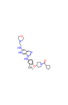 Cc1cc(NN2C=NC=C3C=C(NCCN4CCOCC4)NC=C32)ccc1OC1CCN(C(=O)C2CCCC2)CC1